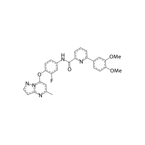 COc1ccc(-c2cccc(C(=O)Nc3ccc(Oc4cc(C)nc5ccnn45)c(F)c3)n2)cc1OC